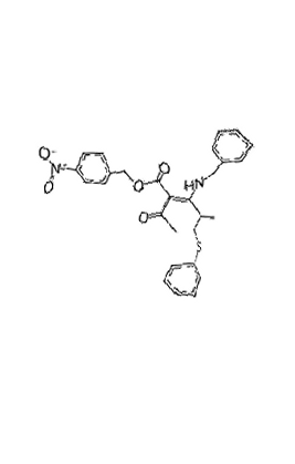 CC(=O)C(C(=O)OCc1ccc([N+](=O)[O-])cc1)=C(NCc1ccccc1)C(C)CSc1ccccc1